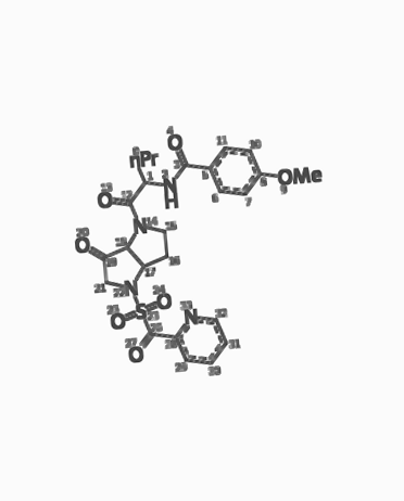 CCCC(NC(=O)c1ccc(OC)cc1)C(=O)N1CCC2C1C(=O)CN2S(=O)(=O)C(=O)c1ccccn1